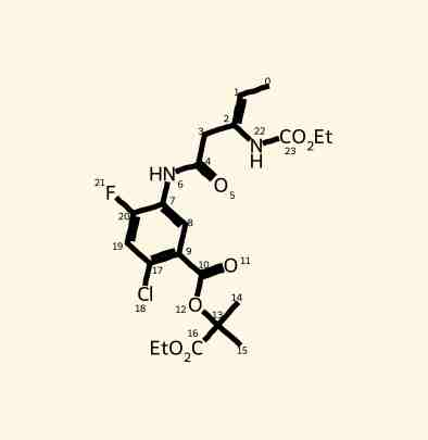 C/C=C(/CC(=O)Nc1cc(C(=O)OC(C)(C)C(=O)OCC)c(Cl)cc1F)NC(=O)OCC